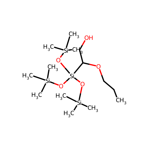 CCCOC(CO)[Si](O[Si](C)(C)C)(O[Si](C)(C)C)O[Si](C)(C)C